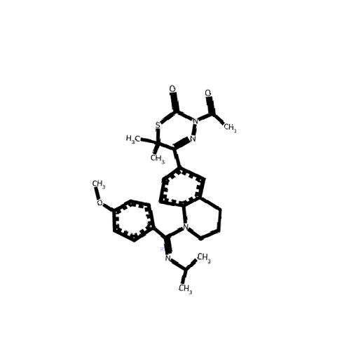 COc1ccc(/C(=N/C(C)C)N2CCCc3cc(C4=NN(C(C)=O)C(=O)SC4(C)C)ccc32)cc1